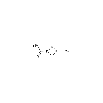 CCCC(=O)N1CC(OC)C1